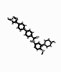 COc1ccc(NC(=O)c2ccc(-c3ccc(-c4cn(C)nn4)cc3)cc2)cc1N1CCN(C)CC1